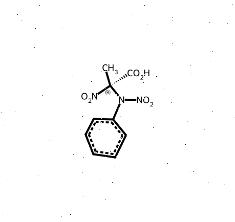 C[C@@](C(=O)O)(N(c1ccccc1)[N+](=O)[O-])[N+](=O)[O-]